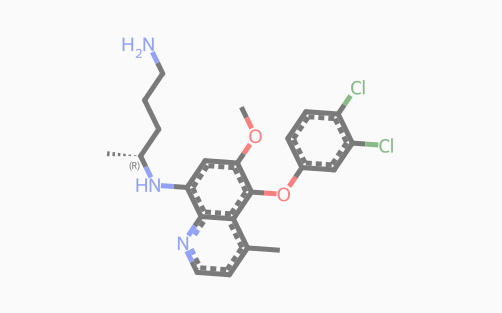 COc1cc(N[C@H](C)CCCN)c2nccc(C)c2c1Oc1ccc(Cl)c(Cl)c1